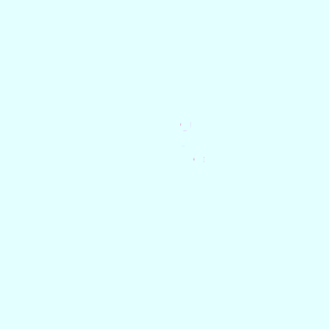 CCCCC(C(=O)OC)c1ccccc1